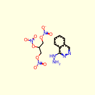 NNc1nncc2ccccc12.O=[N+]([O-])OCC(CO[N+](=O)[O-])O[N+](=O)[O-]